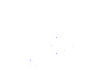 Cc1cc2c(NCCCc3ccccc3)nc(-c3ccc(N(C)C)cc3)nc2s1